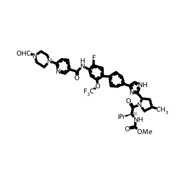 COC(=O)N[C@H](C(=O)N1CC(C)CC1c1nc(-c2ccc(-c3cc(F)c(NC(=O)c4ccc(N5CCN(C=O)CC5)nc4)cc3OC(F)(F)F)cc2)c[nH]1)C(C)C